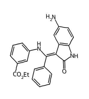 CCOC(=O)c1cccc(NC(=C2C(=O)Nc3ccc(N)cc32)c2ccccc2)c1